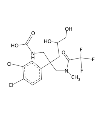 CN(CC(CNC(=O)O)(CC(O)CO)c1ccc(Cl)c(Cl)c1)C(=O)C(F)(F)F